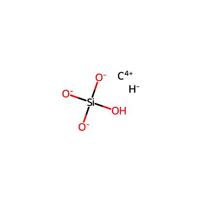 [C+4].[H-].[O-][Si]([O-])([O-])O